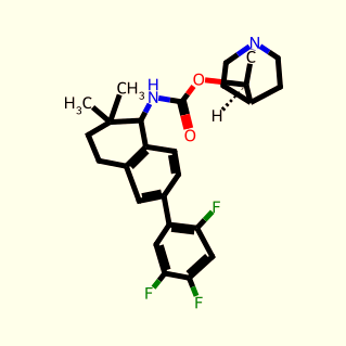 CC1(C)CCc2cc(-c3cc(F)c(F)cc3F)ccc2C1NC(=O)O[C@H]1CN2CCC1CC2